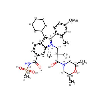 COc1ccc(-c2c(C3CCCCC3)c3ccc(C(=O)NS(C)(=O)=O)cc3n2CC(C)(C)C(=O)N2C[C@@H](C)O[C@@H](C)C2)c(C)c1